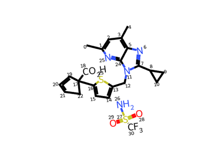 Cc1cc(C)c2nc(C3CC3)n(Cc3ccc(C4(C(=O)O)C=C=CC4)s3)c2n1.NS(=O)(=O)C(F)(F)F